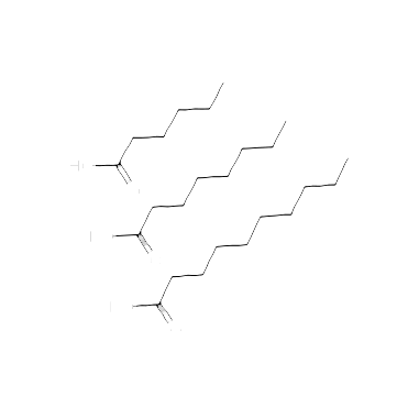 CCCCCC(=O)O.CCCCCCCC(=O)O.CCCCCCCCCC(=O)O